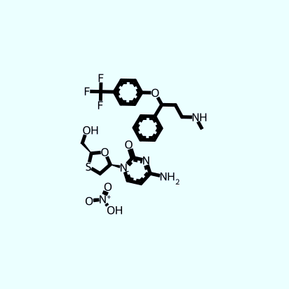 CNCCC(Oc1ccc(C(F)(F)F)cc1)c1ccccc1.Nc1ccn([C@H]2CS[C@@H](CO)O2)c(=O)n1.O=[N+]([O-])O